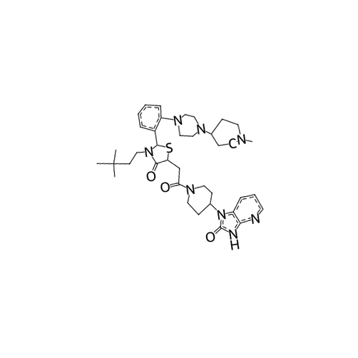 CN1CCC(N2CCN(c3ccccc3C3SC(CC(=O)N4CCC(n5c(=O)[nH]c6ncccc65)CC4)C(=O)N3CCC(C)(C)C)CC2)CC1